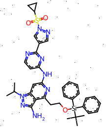 CC(C)n1nc(N)c2c(CCO[Si](c3ccccc3)(c3ccccc3)C(C)(C)C)nc(Nc3ccnc(-c4cnn(S(=O)(=O)C5CC5)c4)n3)cc21